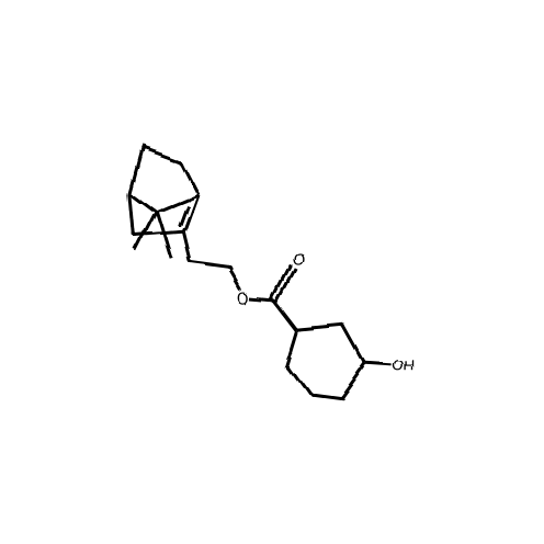 CC1(C)C2=C(CCOC(=O)C3CCCC(O)C3)CC1CC2